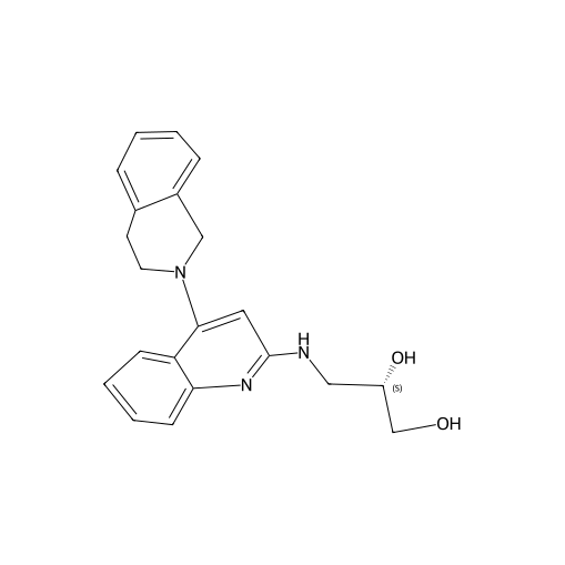 OC[C@@H](O)CNc1cc(N2CCc3ccccc3C2)c2ccccc2n1